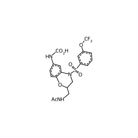 CC(=O)NCC1CN(S(=O)(=O)c2cccc(OC(F)(F)F)c2)c2cc(NC(=O)O)ccc2O1